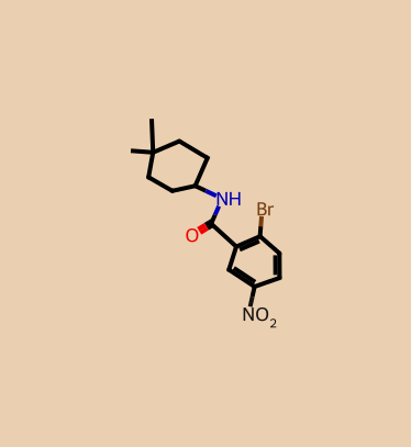 CC1(C)CCC(NC(=O)c2cc([N+](=O)[O-])ccc2Br)CC1